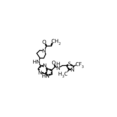 C=CC(=O)N1CCC(Nc2cnc3[nH]cc(C(=O)NCc4sc(C(F)(F)F)nc4C)c3n2)CC1